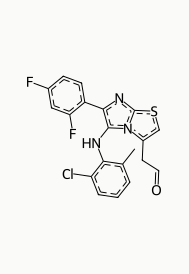 Cc1cccc(Cl)c1Nc1c(-c2ccc(F)cc2F)nc2scc(CC=O)n12